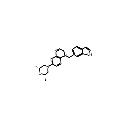 C[C@@H]1CN(c2ccc3c(n2)N=CCN3Cc2ccc3cc[nH]c3c2)C[C@H](C)O1